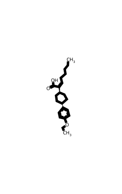 CCCCCC=C(C(=O)O)[C@H]1CC[C@H](c2ccc(OCC)cc2)CC1